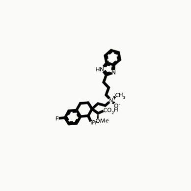 CO[C@H](C(=O)O)C1(CC[N+](C)([O-])CCCc2nc3ccccc3[nH]2)CCc2cc(F)ccc2C1C(C)C